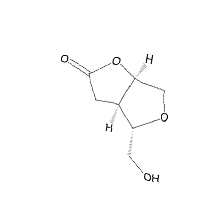 O=C1C[C@H]2[C@H](CO[C@@H]2CO)O1